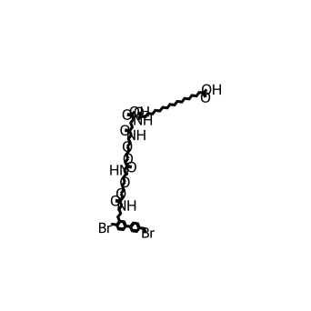 O=C(O)CCCCCCCCCCCCCCCCC(=O)NC(CCC(=O)NCCOCCOCC(=O)NCCOCCOCC(=O)NCCCc1cc(-c2ccc(CBr)cc2)ccc1CBr)C(=O)O